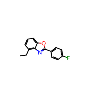 CCc1cccc2oc(-c3ccc(F)cc3)nc12